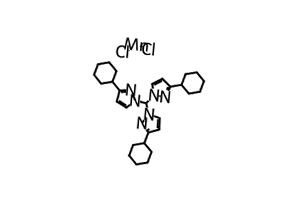 [Cl][Mn][Cl].c1cn(C(n2ccc(C3CCCCC3)n2)n2ccc(C3CCCCC3)n2)nc1C1CCCCC1